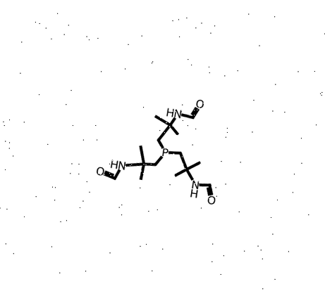 CC(C)(CP(CC(C)(C)NC=O)CC(C)(C)NC=O)NC=O